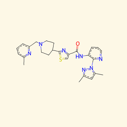 Cc1cccc(CN2CCC(c3nc(C(=O)Nc4cccnc4-n4nc(C)cc4C)cs3)CC2)n1